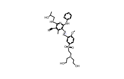 COc1ccc(S(=O)(=O)CCN(CCO)CCO)cc1/N=N/c1c(Nc2ccccc2)nc(NCC(C)O)c(C#N)c1C